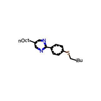 CCCCCCCCc1cnc(-c2ccc(SCC(C)CC)cc2)nc1